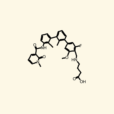 COc1cc(-c2cccc(-c3cccc(NC(=O)c4cccn(C)c4=O)c3C)c2C)cc(F)c1CNCCCC(=O)O